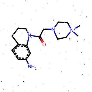 C[N+]1(C)CCN(CC(=O)N2CCCc3ccc(N)cc32)CC1